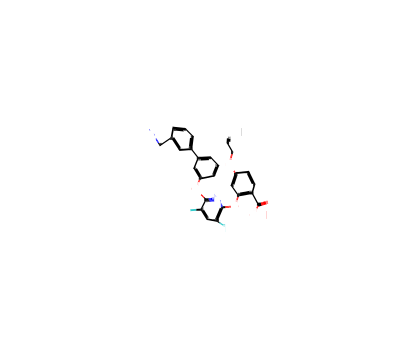 C=CCOc1ccc(C(=O)O)c(Oc2nc(Oc3cccc(-c4cccc(CN)c4)c3)c(F)cc2F)c1